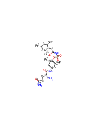 CC(C)c1cc(C(C)C)c(CC(=O)NS(=O)(=O)Oc2c(C(C)C)cc(NC(=O)C(N)CCC(N)=O)cc2C(C)C)c(C(C)C)c1